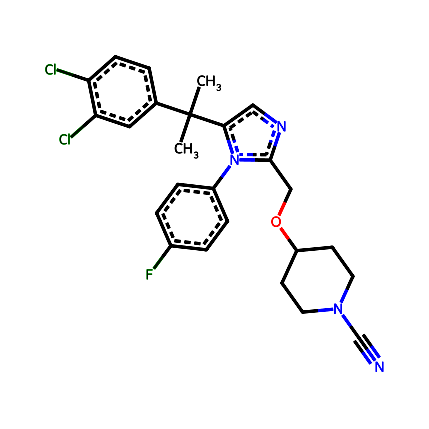 CC(C)(c1ccc(Cl)c(Cl)c1)c1cnc(COC2CCN(C#N)CC2)n1-c1ccc(F)cc1